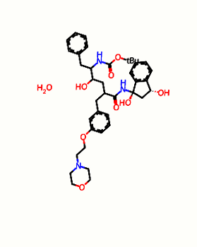 CC(C)(C)OC(=O)NC(Cc1ccccc1)C(O)CC(Cc1cccc(OCCN2CCOCC2)c1)C(=O)N[C@@]1(O)C[C@@H](O)c2ccccc21.O